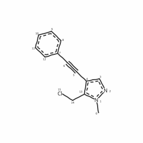 Cn1ncc(C#Cc2ccccc2)c1CCl